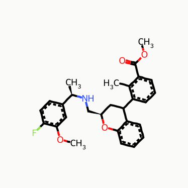 COC(=O)c1cccc(C2C[C@H](CN[C@H](C)c3ccc(F)c(OC)c3)Oc3ccccc32)c1C